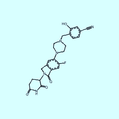 N#Cc1ccc(CN2CCN(c3cc4c(cc3F)C(=O)N(C3CCC(=O)NC3=O)C4)CC2)c(O)c1